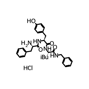 CCC(C)[C@H](NC(=O)[C@H](Cc1ccc(O)cc1)NC(=O)[C@@H](N)Cc1ccccc1)C(=O)NCc1ccccc1.Cl